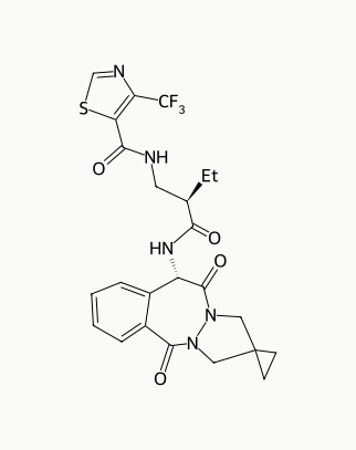 CC[C@H](CNC(=O)c1scnc1C(F)(F)F)C(=O)N[C@@H]1C(=O)N2CC3(CC3)CN2C(=O)c2ccccc21